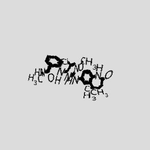 CNC(=O)c1ccccc1Nc1nc(Nc2cc3c(cc2OC)NC(=O)CCC3(C)C)ncc1Cl